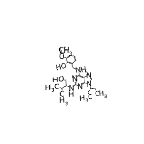 CCC(CC)n1cnc2c(NCc3cccc(OC)c3O)nc(NC(CO)C(C)C)nc21